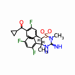 CN1C(=N)N[C@](C)(c2ccc(F)cc2F)[C@@H](c2ccc(C(=O)C3CC3)c(F)c2)S1(=O)=O